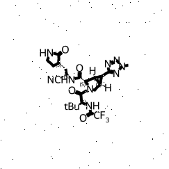 Cn1nnc(C2[C@H]3[C@@H]2CN(C(=O)[C@@H](NC(=O)C(F)(F)F)C(C)(C)C)[C@@H]3C(=O)N[C@H](C#N)C[C@@H]2CCNC2=O)n1